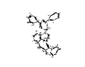 C1=CN(c2nc(-c3ccccc3)nc(-c3ccccc3)n2)c2cccc3cc4oc5ccccc5c4c1c23